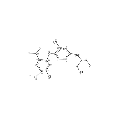 CC[C@H](CO)Nc1ncc(Oc2cc(Cl)c(OC)cc2C(C)C)c(N)n1